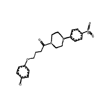 O=C(CCCOc1ccc(Cl)cc1)N1CCN(c2ccc([SH](=O)=O)cc2)CC1